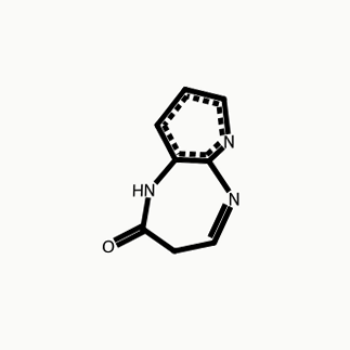 O=C1CC=Nc2ncccc2N1